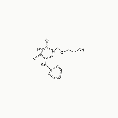 O=c1[nH]c(=O)n(COCCO)cc1[Se]c1ccccc1